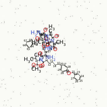 COC(=O)C(C(C)C)N(C(=O)CCCCCc1ccc(OCc2ccccc2)cc1)C(=O)C(N)C(CO)CNC(=O)[C@H](C)N(C(=O)OC(C)(C)C)C(=O)[C@H](C)NC(=O)[C@@H](N)COCc1ccccc1